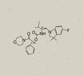 CC(C)[C@@H](CN1CC(C)(C)c2cc(F)ccc21)NC(=O)O[C@@H](C(=O)N1CCOCC1)c1ccccc1